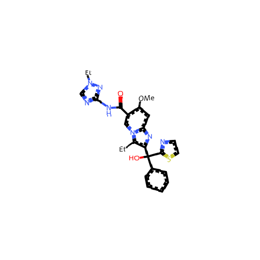 CCc1c(C(O)(c2ccccc2)c2nccs2)nc2cc(OC)c(C(=O)Nc3ncn(CC)n3)cn12